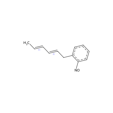 C/C=C/C=C/Cc1ccccc1N=O